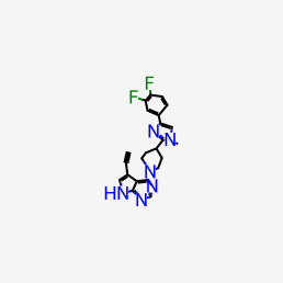 C#Cc1c[nH]c2ncnc(N3CCC(c4nc(-c5ccc(F)c(F)c5)cn4C)CC3)c12